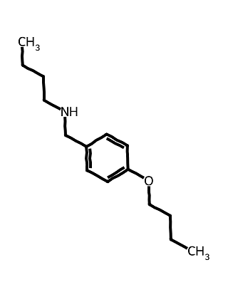 CCCCNCc1ccc(OCCCC)cc1